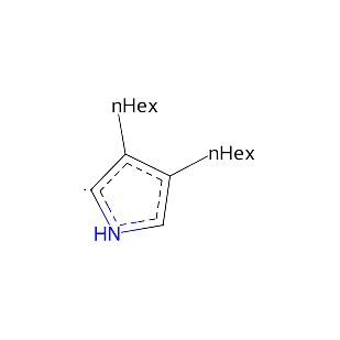 CCCCCCc1[c][nH]cc1CCCCCC